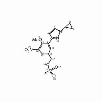 COc1c(-c2ccn(C3CC3)n2)cc(COS(C)(=O)=O)cc1[N+](=O)[O-]